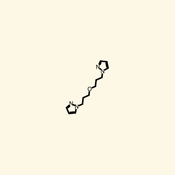 c1cnn(CCCOCCCn2cccn2)c1